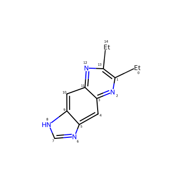 CCc1nc2cc3nc[nH]c3cc2nc1CC